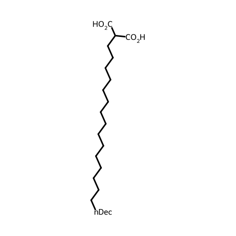 CCCCCCCCCCCCCCCCCCCCCCCCCC(C(=O)O)C(=O)O